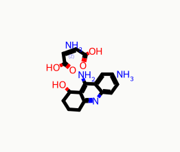 N.N.Nc1c2c(nc3ccccc13)CCCC2O.O=C(O)/C=C\C(=O)O